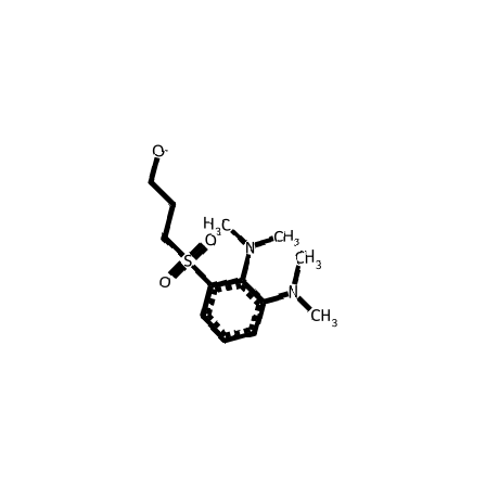 CN(C)c1cccc(S(=O)(=O)CCC[O])c1N(C)C